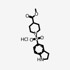 COC(=O)C1CCN(S(=O)(=O)c2ccc3c(c2)CCN3)CC1.Cl